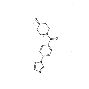 O=C1CCN(C(=O)c2ccc(-n3cncn3)cc2)CC1